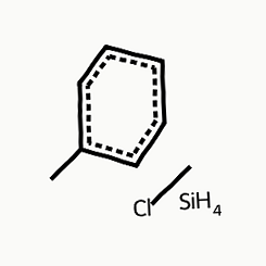 CCl.Cc1ccccc1.[SiH4]